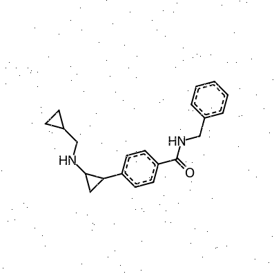 O=C(NCc1ccccc1)c1ccc(C2CC2NCC2CC2)cc1